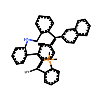 C=c1cccc/c1=C(\c1ccc2ccccc2c1)c1ccccc1CNc1ccccc1CC1=C(CCC)c2ccccc2[PH]1(C)C